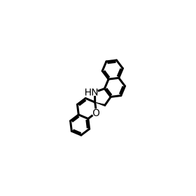 C1=C[C@@]2(Cc3ccc4ccccc4c3N2)Oc2ccccc21